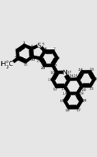 Cc1ccc2sc3ccc(-c4ccc5c6ccccc6c6ccccc6c5n4)cc3c2c1